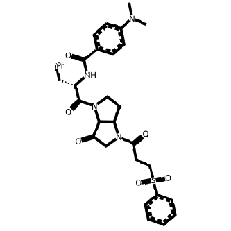 CC(C)C[C@H](NC(=O)c1ccc(N(C)C)cc1)C(=O)N1CCC2C1C(=O)CN2C(=O)CCS(=O)(=O)c1ccccc1